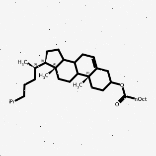 CCCCCCCCC(=O)OC1CC[C@@]2(C)C(=CCC3C2CC[C@@]2(C)C3CC[C@@H]2[C@H](C)CCCC(C)C)C1